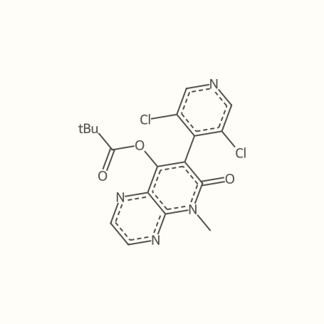 Cn1c(=O)c(-c2c(Cl)cncc2Cl)c(OC(=O)C(C)(C)C)c2nccnc21